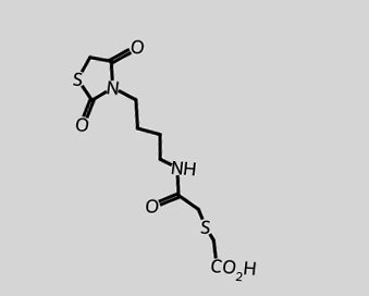 O=C(O)CSCC(=O)NCCCCN1C(=O)CSC1=O